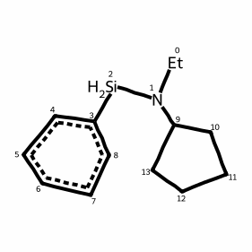 CCN([SiH2]c1ccccc1)C1CCCC1